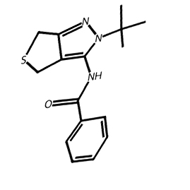 CC(C)(C)n1nc2c(c1NC(=O)c1ccccc1)CSC2